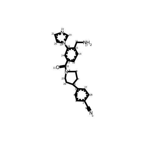 N#Cc1ccc(C2CCN(C(=O)c3ccc(CN)c(-n4ccnc4)c3)CC2)cc1